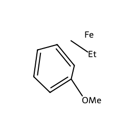 CCC.COc1ccccc1.[Fe]